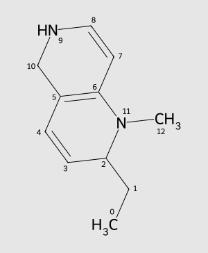 CCC1C=CC2=C(C=CNC2)N1C